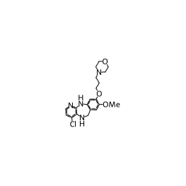 COc1cc2c(cc1OCCCN1CCOCC1)Nc1nccc(Cl)c1NC2